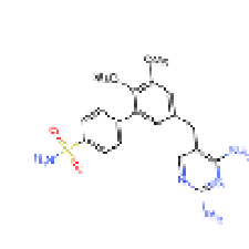 COc1cc(Cc2cnc(N)nc2N)cc(-c2ccc(S(N)(=O)=O)cc2)c1OC